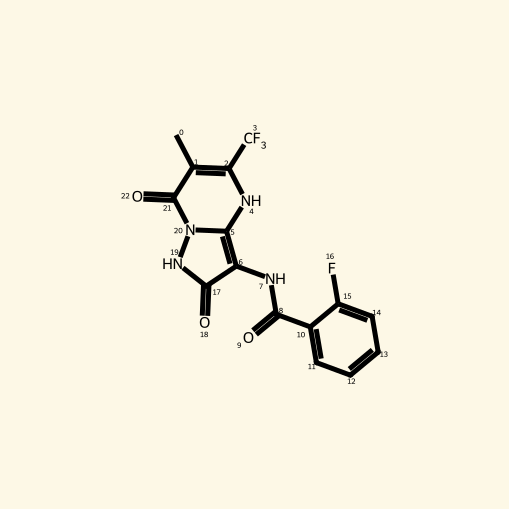 Cc1c(C(F)(F)F)[nH]c2c(NC(=O)c3ccccc3F)c(=O)[nH]n2c1=O